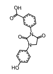 O=C(O)c1cccc(N2C(=O)CN(c3ccc(O)cc3)C2=O)c1